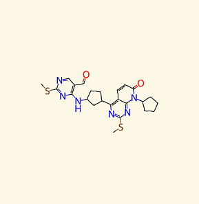 CSc1ncc(C=O)c(NC2CCC(c3nc(SC)nc4c3ccc(=O)n4C3CCCC3)C2)n1